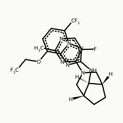 Cc1ncc(F)c(N2C[C@H]3CC[C@@H](C2)[C@@H]3Nc2nc3c(OCC(F)(F)F)ccc(C(F)(F)F)n3n2)n1